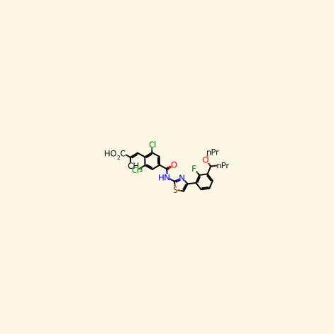 CCCOC(CCC)c1cccc(-c2csc(NC(=O)c3cc(Cl)c(C=C(C)C(=O)O)c(Cl)c3)n2)c1F